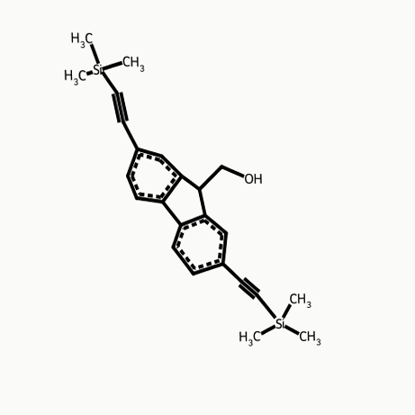 C[Si](C)(C)C#Cc1ccc2c(c1)C(CO)c1cc(C#C[Si](C)(C)C)ccc1-2